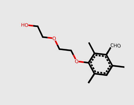 Cc1cc(C)c(OCCOCCO)c(C)c1C=O